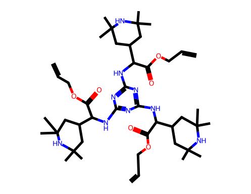 C=CCOC(=O)C(Nc1nc(NC(C(=O)OCC=C)C2CC(C)(C)NC(C)(C)C2)nc(NC(C(=O)OCC=C)C2CC(C)(C)NC(C)(C)C2)n1)C1CC(C)(C)NC(C)(C)C1